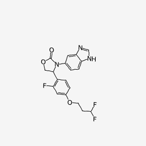 O=C1OCC(c2ccc(OCCC(F)F)cc2F)N1c1ccc2[nH]cnc2c1